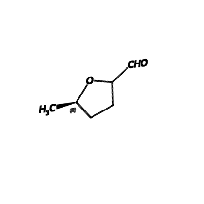 C[C@@H]1CCC(C=O)O1